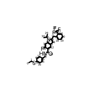 CCSc1ccc(CNC(=O)c2cc3cc(Cc4ccccc4C(F)(F)F)n(C(C)C)c3cc2F)cc1